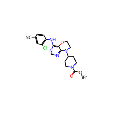 CC(C)OC(=O)N1CCC(N2CCOc3c(Nc4ccc(C#N)cc4Cl)ncnc32)CC1